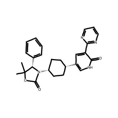 CC1(C)OC(=O)N([C@H]2CC[C@@H](c3c[nH]c(=O)c(-c4ncccn4)c3)CC2)[C@H]1c1ccccc1